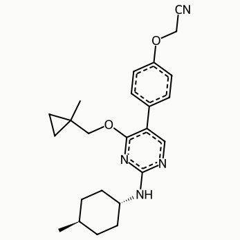 CC1(COc2nc(N[C@H]3CC[C@H](C)CC3)ncc2-c2ccc(OCC#N)cc2)CC1